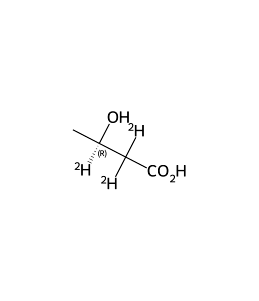 [2H]C([2H])(C(=O)O)[C@@]([2H])(C)O